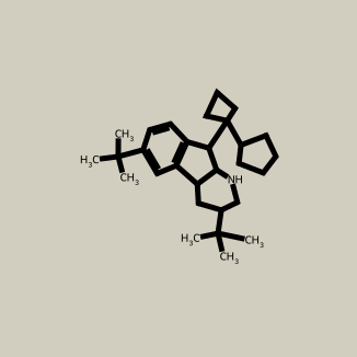 CC(C)(C)c1ccc2c(c1)C1CC(C(C)(C)C)CNC1C2C1(C2CCCC2)CCC1